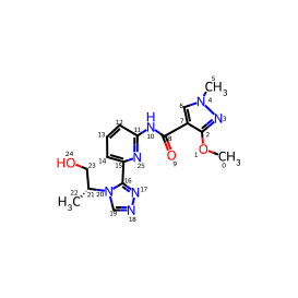 COc1nn(C)cc1C(=O)Nc1cccc(-c2nncn2[C@H](C)CO)n1